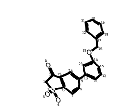 O=C1CS(=O)(=O)c2ccc(-c3cccc(OCc4ccccc4)c3)cc21